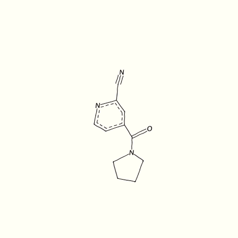 N#Cc1cc(C(=O)N2CCCC2)ccn1